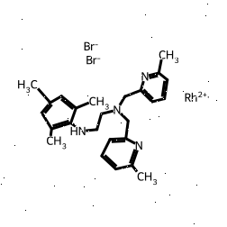 Cc1cc(C)c(NCCN(Cc2cccc(C)n2)Cc2cccc(C)n2)c(C)c1.[Br-].[Br-].[Rh+2]